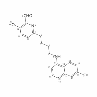 O=Cc1nc(CCCCNc2ccnc3cc(F)ccc23)ccc1O